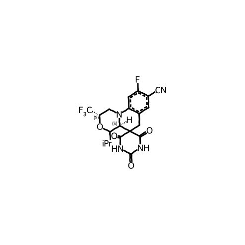 CC(C)C1O[C@H](C(F)(F)F)CN2c3cc(F)c(C#N)cc3CC3(C(=O)NC(=O)NC3=O)[C@@H]12